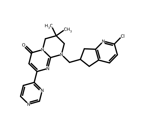 CC1(C)CN(CC2Cc3ccc(Cl)nc3C2)c2nc(-c3ccncn3)cc(=O)n2C1